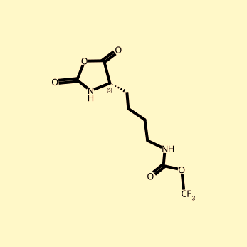 O=C1N[C@@H](CCCCNC(=O)OC(F)(F)F)C(=O)O1